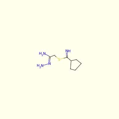 N=C(SCC(N)=NN)C1CCCC1